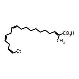 CC/C=C\C/C=C\C/C=C\CCCCCCC/C=C(\C)C(=O)O